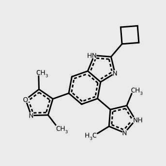 Cc1n[nH]c(C)c1-c1cc(-c2c(C)noc2C)cc2[nH]c(C3CCC3)nc12